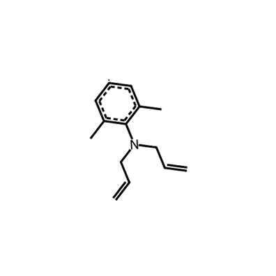 C=CCN(CC=C)c1c(C)c[c]cc1C